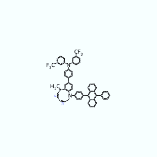 C=C1/C=C\C=C/CN(c2ccc(-c3c4ccccc4c(-c4ccccc4)c4ccccc34)cc2)c2ccc(-c3ccc(N(c4cccc(C(F)(F)F)c4)c4cccc(C(F)(F)F)c4)cc3)cc21